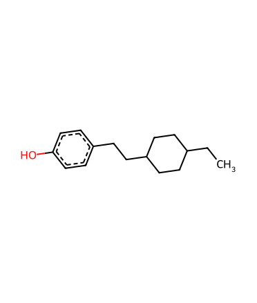 CCC1CCC(CCc2ccc(O)cc2)CC1